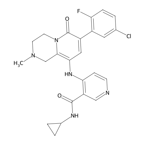 CN1CCn2c(c(Nc3ccncc3C(=O)NC3CC3)cc(-c3cc(Cl)ccc3F)c2=O)C1